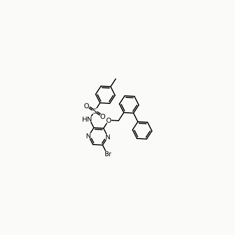 Cc1ccc(S(=O)(=O)Nc2ncc(Br)nc2OCc2ccccc2-c2ccccc2)cc1